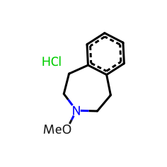 CON1CCc2ccccc2CC1.Cl